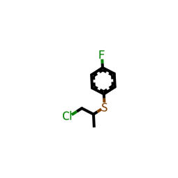 CC(CCl)Sc1ccc(F)cc1